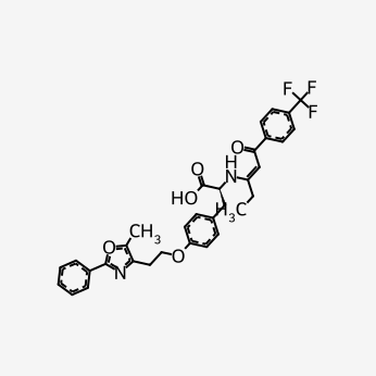 CCC(=CC(=O)c1ccc(C(F)(F)F)cc1)N[C@@H](Cc1ccc(OCCc2nc(-c3ccccc3)oc2C)cc1)C(=O)O